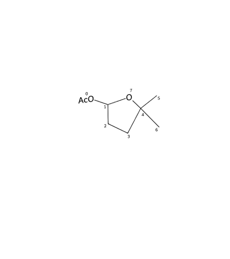 CC(=O)OC1CCC(C)(C)O1